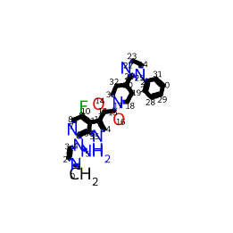 C=N/C=C\N(N)c1ncc(F)c2c(C(=O)C(=O)N3CCC(C4=NCCN4c4ccccc4)CC3)c[nH]c12